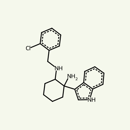 NC1(c2c[nH]c3ccccc23)CCCCC1NCc1ccccc1Cl